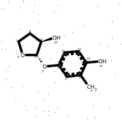 Cc1cc(O[C@@H]2OCC[C@H]2O)ccc1O